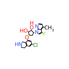 Cc1ccnc2c1c(F)cn2[C@@H]1C[C@H](Oc2cc(Cl)cc3c2CNCC3)[C@@H](O)[C@H]1O